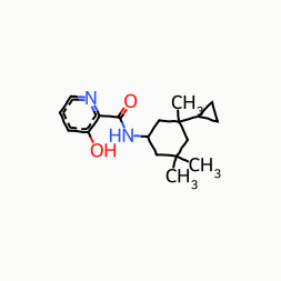 CC1(C)CC(NC(=O)c2ncccc2O)CC(C)(C2CC2)C1